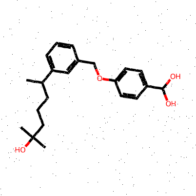 CC(CCCC(C)(C)O)c1cccc(COc2ccc(C(O)O)cc2)c1